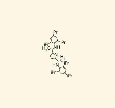 CC(Nc1c(C(C)C)cc(C(C)C)cc1C(C)C)C1=CCC(C(C)Nc2c(C(C)C)cc(C(C)C)cc2C(C)C)=N1